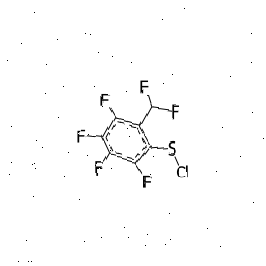 Fc1c(F)c(F)c(C(F)F)c(SCl)c1F